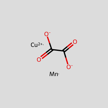 O=C([O-])C(=O)[O-].[Cu+2].[Mn]